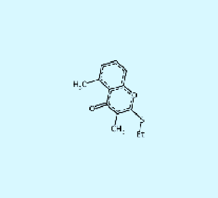 CCSc1oc2cccc(C)c2c(=O)c1C